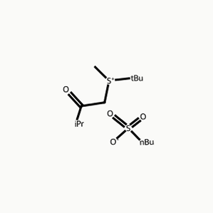 CC(C)C(=O)C[S+](C)C(C)(C)C.CCCCS(=O)(=O)[O-]